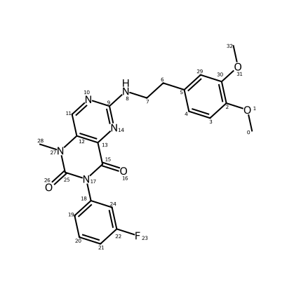 COc1ccc(CCNc2ncc3c(n2)c(=O)n(-c2cccc(F)c2)c(=O)n3C)cc1OC